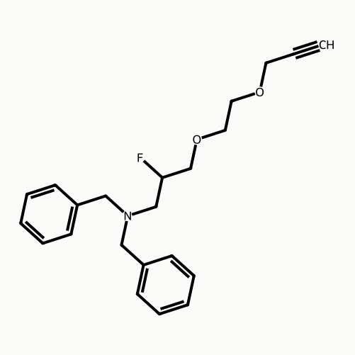 C#CCOCCOCC(F)CN(Cc1ccccc1)Cc1ccccc1